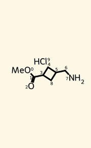 COC(=O)C1CC(CN)C1.Cl